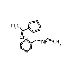 C=C(C)c1ccccc1.C=CNCc1ccccc1